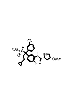 CO[C@H]1CN[C@@H](C(=O)Nc2cc(C(CCC3CC3)(N[S@+]([O-])C(C)(C)C)c3cccc(C#N)c3)ccc2F)C1